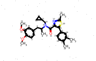 COc1ccc(CC(C)N(CC2CC2)C(=O)c2nc(C)sc2-c2ccc(C)c(C)c2)cc1OC